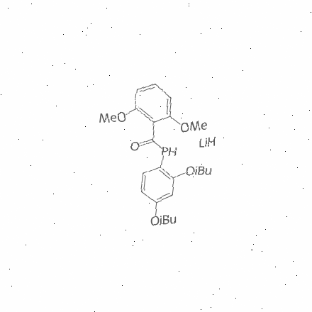 COc1cccc(OC)c1C(=O)Pc1ccc(OCC(C)C)cc1OCC(C)C.[LiH]